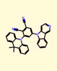 CC1(C)c2ccccc2N(c2cc(-n3c4ccccc4c4cnccc43)cc(C#N)c2C#N)c2ccccc21